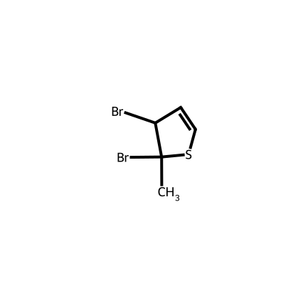 CC1(Br)SC=CC1Br